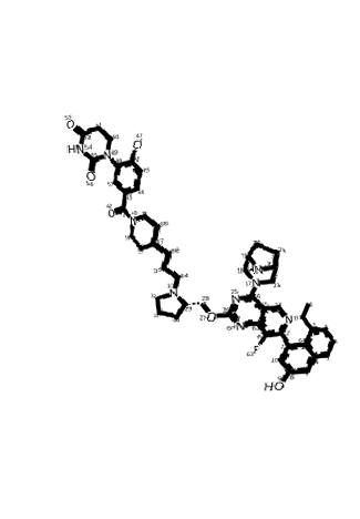 CCc1cccc2cc(O)cc(-c3ncc4c(N5CC6CCC(C5)N6)nc(OC[C@@H]5CCCN5CCCC5CCN(C(=O)c6ccc(Cl)c(N7CCC(=O)NC7=O)c6)CC5)nc4c3F)c12